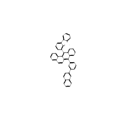 c1cc(-c2ccc3ccccc3c2)cc(-c2c3ccccc3c(-c3cccc4c3oc3ccccc34)c3c2ccc2ccccc23)c1